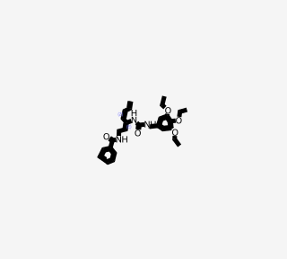 C=C/C=C\C(=C/CNC(=O)c1ccccc1)NC(=O)NCc1cc(OCC)c(OCC)c(OCC)c1